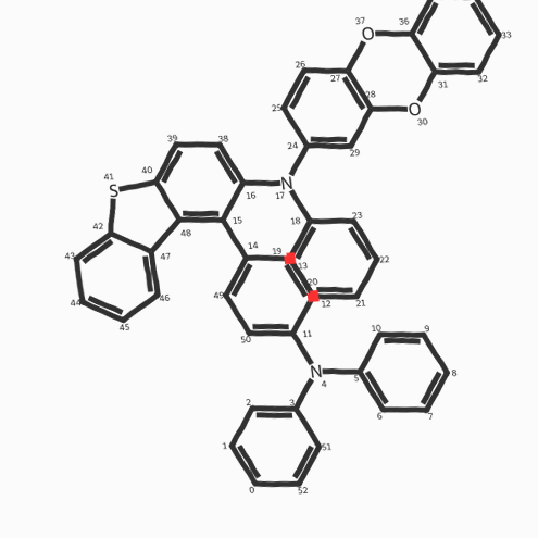 c1ccc(N(c2ccccc2)c2ccc(-c3c(N(c4ccccc4)c4ccc5c(c4)Oc4ccccc4O5)ccc4sc5ccccc5c34)cc2)cc1